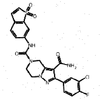 NC(=O)c1c(-c2ccc(F)c(Cl)c2)nn2c1CN(C(=O)Nc1ccc3c(c1)S(=O)(=O)C=C3)CC2